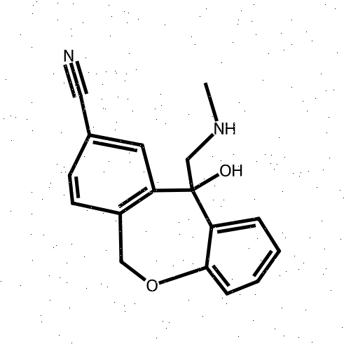 CNCC1(O)c2cc(C#N)ccc2COc2ccccc21